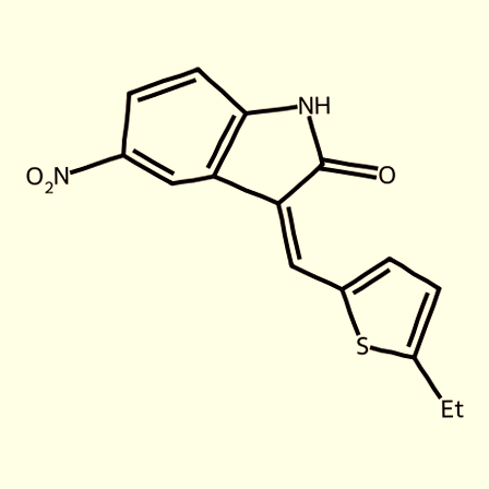 CCc1ccc(C=C2C(=O)Nc3ccc([N+](=O)[O-])cc32)s1